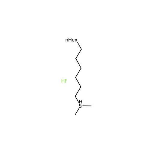 CCCCCCCCCCCC[SiH](C)C.F